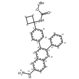 CC(C)(C)OC(=O)NC1(c2ccc(-c3nc4nc(NN)ccc4nc3-c3ccccc3)cc2)CCC1